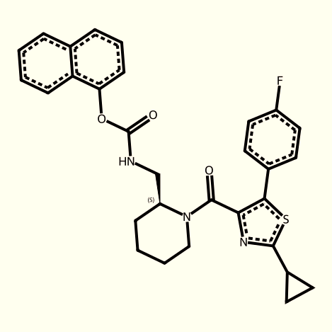 O=C(NC[C@@H]1CCCCN1C(=O)c1nc(C2CC2)sc1-c1ccc(F)cc1)Oc1cccc2ccccc12